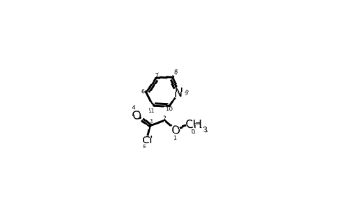 COCC(=O)Cl.c1ccncc1